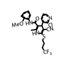 COc1ccccc1NC(=O)C1=C(C)NC(SCCCC(F)(F)F)=C(C#N)C1c1cccnc1Cl